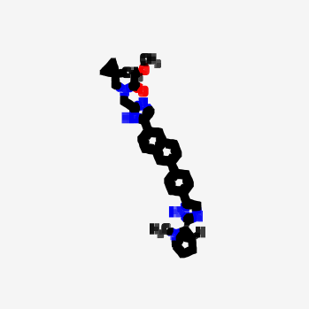 COCC(=O)N(Cc1ncc(-c2ccc3cc(-c4ccc(-c5cnc([C@@H]6[C@H]7CCC(C7)N6C)[nH]5)cc4)ccc3c2)[nH]1)CC1(C)CC1